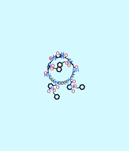 O=C1NCCCN(C(=O)c2cccc(=O)n2OCc2ccccc2)CCCCN(C(=O)c2cccc(=O)n2OCc2ccccc2)CCCNC(=O)c2ccc(n(OCc3ccccc3)c2=O)C(=O)N[C@@H]2COC[C@@H]2NC(=O)c2ccc1c(=O)n2OCc1ccccc1